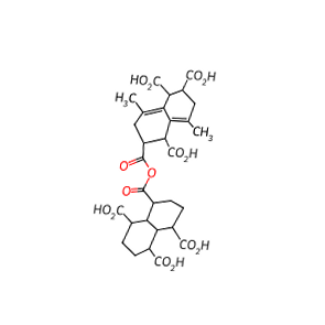 CC1=C2C(=C(C)CC(C(=O)O)C2C(=O)O)C(C(=O)O)C(C(=O)OC(=O)C2CCC(C(=O)O)C3C(C(=O)O)CCC(C(=O)O)C23)C1